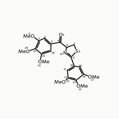 COc1cc(C(=O)C2CSC(c3cc(OC)c(OC)c(OC)c3)=N2)cc(OC)c1OC